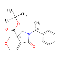 C[C@H](c1ccccc1)N1C[C@]2(C(=O)OC(C)(C)C)COCC=C2C1=O